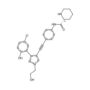 O=C(Nc1ccc(C#Cc2cn(CCO)nc2-c2cc(Cl)ccc2O)cc1)[C@H]1CCCCN1